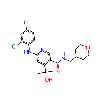 CC(C)(O)c1cc(Nc2ccc(Cl)cc2Cl)ncc1C(=O)NCC1CCOCC1